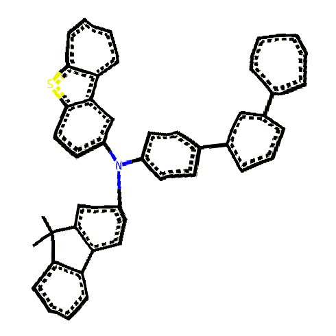 CC1(C)c2ccccc2-c2ccc(N(c3ccc(-c4cccc(-c5ccccc5)c4)cc3)c3ccc4sc5ccccc5c4c3)cc21